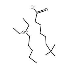 CC(C)(C)CCCCCC(=O)[O-].CCCC[CH2][Sn+]([CH2]C)[CH2]C